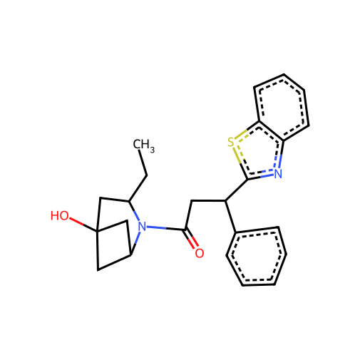 CCC1CC2(O)CC(C2)N1C(=O)CC(c1ccccc1)c1nc2ccccc2s1